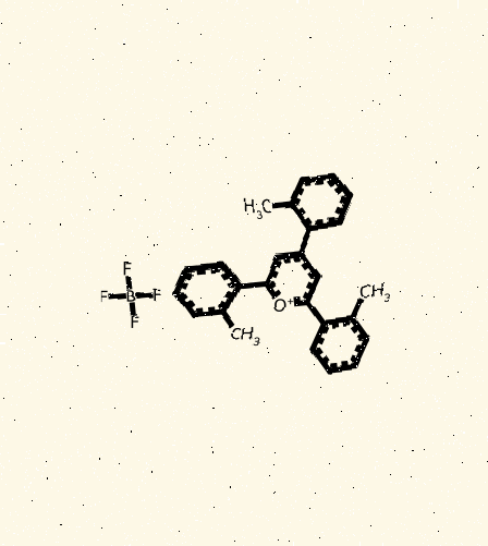 Cc1ccccc1-c1cc(-c2ccccc2C)[o+]c(-c2ccccc2C)c1.F[B-](F)(F)F